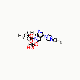 CN1CCN(c2cncc3c2cc(OBO)n3C(=O)OC(C)(C)C)CC1